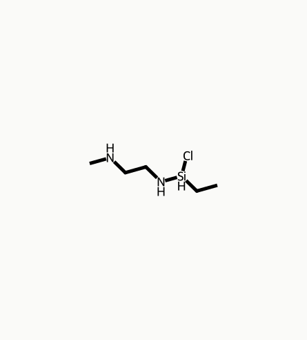 CC[SiH](Cl)NCCNC